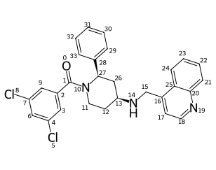 O=C(c1cc(Cl)cc(Cl)c1)N1CC[C@H](NCc2ccnc3ccccc23)C[C@@H]1c1ccccc1